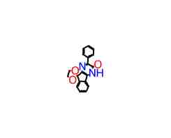 O=c1[nH]c2c(nc1-c1ccccc1)C1(OCCO1)c1ccccc1-2